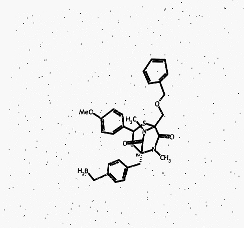 BCc1ccc(C[C@@]23SC(c4ccc(OC)cc4)SC(COCc4ccccc4)(C(=O)N2C)N(C)C3=O)cc1